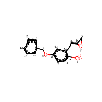 Oc1ccc(OCc2ccccc2)cc1CC1CO1